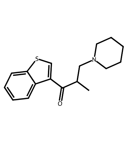 CC(CN1CCCCC1)C(=O)c1csc2ccccc12